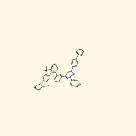 CC1(C)c2ccccc2-c2cc3c(cc21)-c1c(-c2cccc(-c4cc(-c5ccc(-c6ccccc6)cc5)nc(-c5ccccc5)n4)c2)cccc1C3(C)C